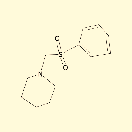 O=S(=O)(CN1CCCCC1)c1ccccc1